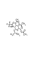 CC(=O)OC[C@H]1OC(OC(C)C)[C@H](NC(=O)C(F)(F)F)[C@@H](OC(C)=O)[C@H]1OC(C)=O